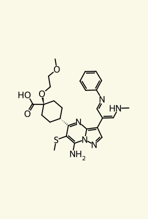 CN/C=C(\C=N\c1ccccc1)c1cnn2c(N)c(SC)c([C@H]3CC[C@@](OCCOC)(C(=O)O)CC3)nc12